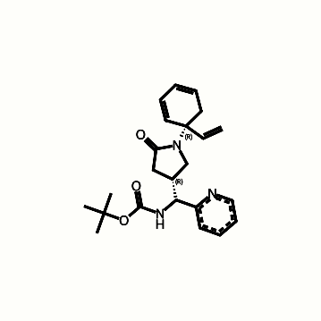 C=C[C@@]1(N2C[C@H](C(NC(=O)OC(C)(C)C)c3ccccn3)CC2=O)C=CC=CC1